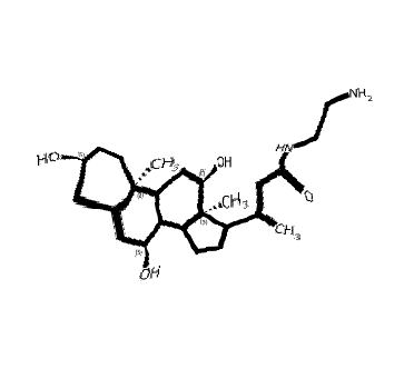 CC(CC(=O)NCCN)C1CCC2C3C(C[C@@H](O)[C@@]12C)[C@]1(C)CC[C@H](O)CC1C[C@@H]3O